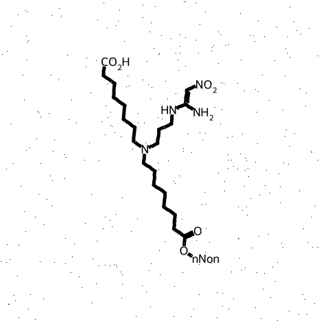 CCCCCCCCCOC(=O)CCCCCCCN(CCCCCCCC(=O)O)CCCNC(N)=C[N+](=O)[O-]